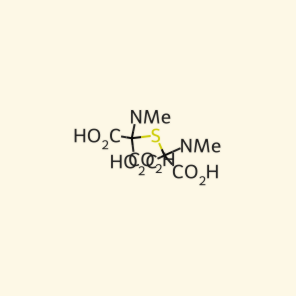 CNC(SC(NC)(C(=O)O)C(=O)O)(C(=O)O)C(=O)O